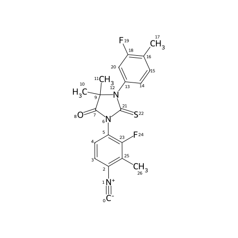 [C-]#[N+]c1ccc(N2C(=O)C(C)(C)N(c3ccc(C)c(F)c3)C2=S)c(F)c1C